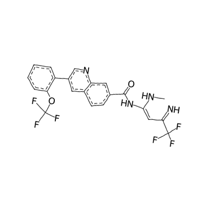 CN/C(=C\C(=N)C(F)(F)F)NC(=O)c1ccc2cc(-c3ccccc3OC(F)(F)F)cnc2c1